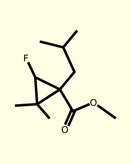 COC(=O)C1(CC(C)C)C(F)C1(C)C